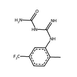 Cc1ccc(C(F)(F)F)cc1NC(=N)NC(N)=O